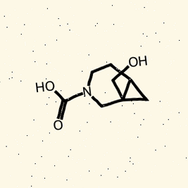 O=C(O)N1CCC2CC2(CO)C1